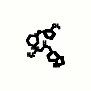 Cc1cccc(O[C@@H]2CCC[C@H]([C@H](C)CNCc3ccc4[nH]cnc4c3)C2)c1